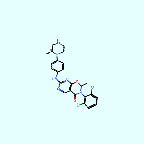 CC1Oc2nc(Nc3ccc(N4CCNC[C@@H]4C)cc3)ncc2C(=O)N1c1c(Cl)cccc1Cl